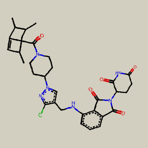 CC1C2=CC(C)C2(C(=O)N2CCC(n3cc(CNc4cccc5c4C(=O)N(C4CCC(=O)NC4=O)C5=O)c(Cl)n3)CC2)C1C